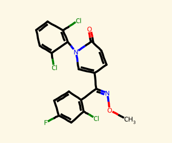 CON=C(c1ccc(=O)n(-c2c(Cl)cccc2Cl)c1)c1ccc(F)cc1Cl